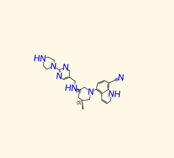 C[C@H]1C[C@@H](NCc2cnc(N3CCNCC3)nc2)CN(c2ccc(C#N)c3c2C=CCN3)C1